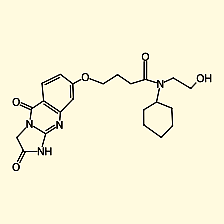 O=C1Cn2c(nc3cc(OCCCC(=O)N(CCO)C4CCCCC4)ccc3c2=O)N1